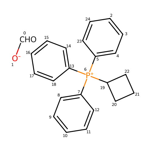 O=C[O-].c1ccc([P+](c2ccccc2)(c2ccccc2)C2CCC2)cc1